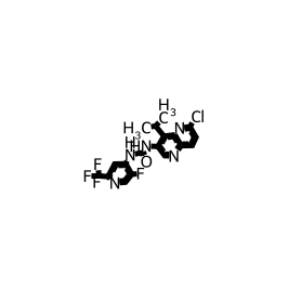 CC(C)c1c(NC(=O)Nc2cc(C(F)(F)F)ncc2F)cnc2ccc(Cl)nc12